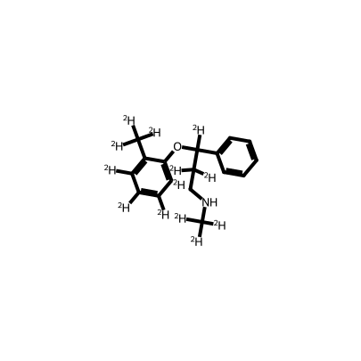 [2H]c1c([2H])c([2H])c(C([2H])([2H])[2H])c(OC([2H])(c2ccccc2)C([2H])([2H])CNC([2H])([2H])[2H])c1[2H]